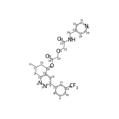 CC1Cc2nnc(-c3cccc(C(F)(F)F)c3)cc2C(OC(=O)COCC(=O)NCc2ccncc2)C1